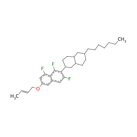 CC=CCOc1cc(F)c2c(F)c(C3CCC4CC(CCCCCCC)CCC4C3)c(F)cc2c1